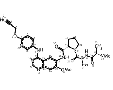 C#CCOc1ccc(Nc2ncnc3cc(OC)c(NC(=O)[C@@H]4CCCN4C(=O)[C@@H](NC(=O)[C@H](C)NC)C(C)(C)C)cc23)cn1